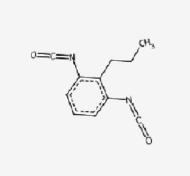 CCCc1c(N=C=O)cccc1N=C=O